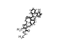 CCCc1nc(C)c(C(=O)OCC)n1Cc1ccc2oc(-c3ccccc3-c3nnn[nH]3)c(Br)c2c1